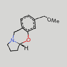 COCc1ccc2c(c1)O[C@@H]1CCCN1C2